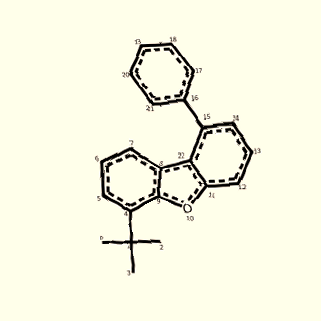 CC(C)(C)c1cccc2c1oc1cccc(-c3ccccc3)c12